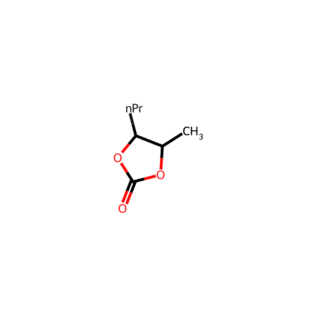 CCCC1OC(=O)OC1C